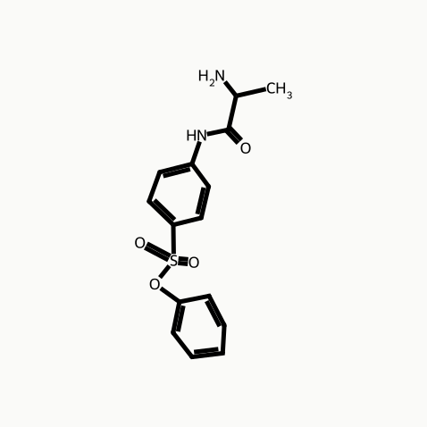 CC(N)C(=O)Nc1ccc(S(=O)(=O)Oc2ccccc2)cc1